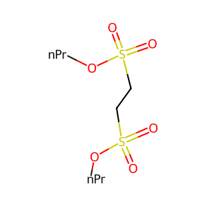 CCCOS(=O)(=O)CCS(=O)(=O)OCCC